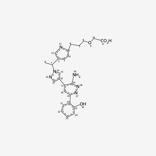 CC(c1ccc(CCCOCC(=O)O)nc1)n1cc(-c2cc(-c3ccccc3O)nnc2N)cn1